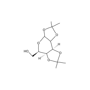 CC1(C)OC2O[C@H](CO)[C@@H]3OC(C)(C)O[C@@H]3C2O1